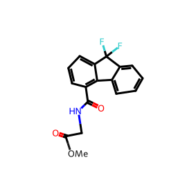 COC(=O)CNC(=O)c1cccc2c1-c1ccccc1C2(F)F